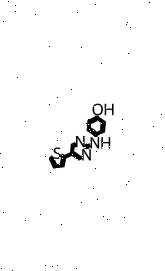 Oc1ccc(Nc2ncc(-c3cccs3)cn2)cc1